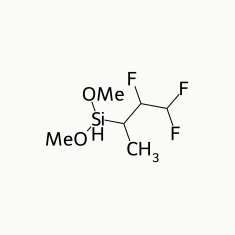 CO[SiH](OC)C(C)C(F)C(F)F